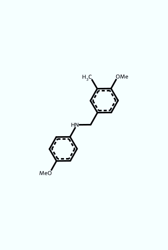 COc1ccc(NCc2ccc(OC)c(C)c2)cc1